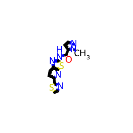 Cn1nccc1C(=O)Nc1nc2ccc(-c3nccs3)nc2s1